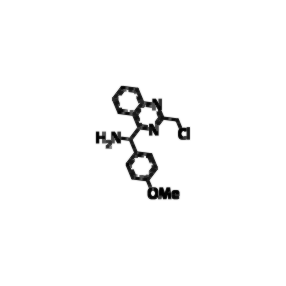 COc1ccc(C(N)c2nc(CCl)nc3ccccc23)cc1